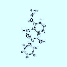 Nc1c(OC2CC2)cccc1C(O)C(=O)c1ccccc1